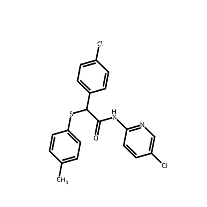 Cc1ccc(SC(C(=O)Nc2ccc(Cl)cn2)c2ccc(Cl)cc2)cc1